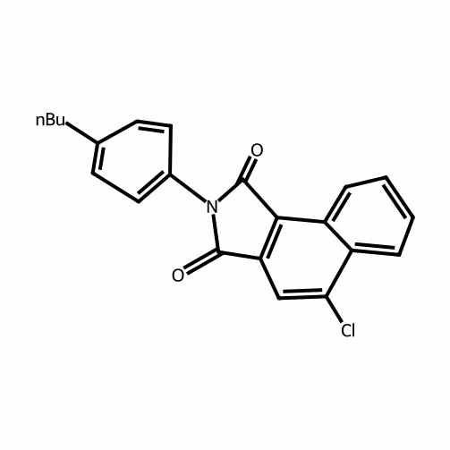 CCCCc1ccc(N2C(=O)c3cc(Cl)c4ccccc4c3C2=O)cc1